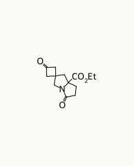 CCOC(=O)C12CCC(=O)N1CC1(CC(=O)C1)C2